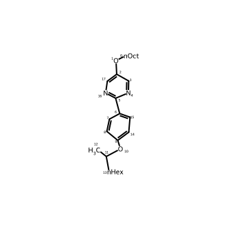 CCCCCCCCOc1cnc(-c2ccc(OC(C)CCCCCC)cc2)nc1